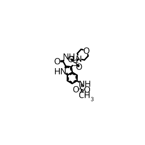 CS(=O)(=O)Nc1ccc2[nH]c(C(N)=O)c(S(=O)(=O)N3CCOCC3)c2c1